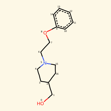 OCC1CCN(CCOc2ccccc2)CC1